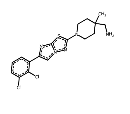 CC1(CN)CCN(c2nn3cc(-c4cccc(Cl)c4Cl)nc3s2)CC1